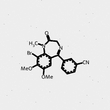 COc1cc2c(c(Br)c1OC)N(C)C(=O)CN=C2c1cccc(C#N)c1